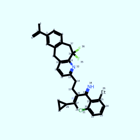 C=C(C)c1ccc2c(c1)Cc1ccc(CC/C(C(=N)c3c(Cl)cccc3CC)=C(/C)C3CC3)nc1C(F)(F)C2